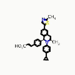 Cc1ncc(-c2ccc3c(c2)C[C@H](C)N(c2ccc(C4CC4)cc2)[C@H]3c2ccc(C=CC(=O)O)cc2)s1